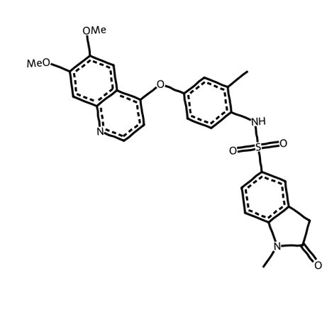 COc1cc2nccc(Oc3ccc(NS(=O)(=O)c4ccc5c(c4)CC(=O)N5C)c(C)c3)c2cc1OC